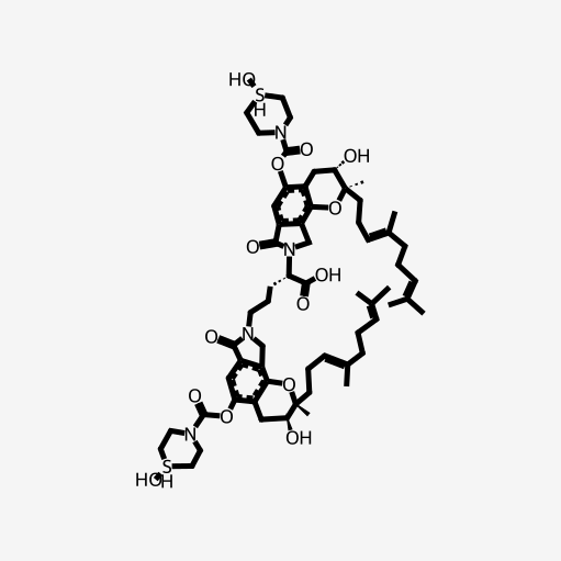 CC(C)=CCC/C(C)=C/CC[C@@]1(C)Oc2c(c(OC(=O)N3CC[SH](O)CC3)cc3c2CN(CCC[C@@H](C(=O)O)N2Cc4c(cc(OC(=O)N5CC[SH](O)CC5)c5c4O[C@](C)(CC/C=C(\C)CCC=C(C)C)[C@@H](O)C5)C2=O)C3=O)C[C@@H]1O